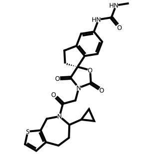 CNC(=O)Nc1ccc2c(c1)CC[C@@]21OC(=O)N(CC(=O)N2Cc3sccc3CCC2C2CC2)C1=O